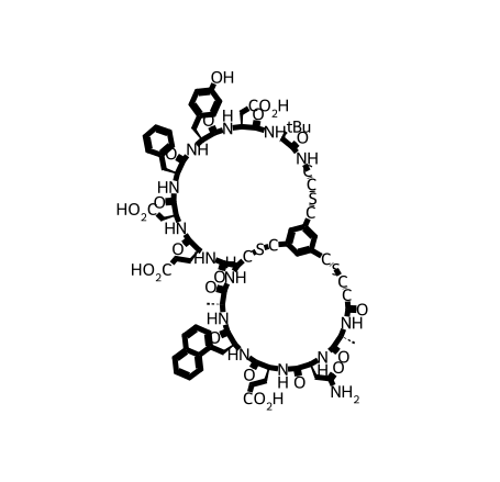 C[C@H]1NC(=O)CCSCc2cc3cc(c2)CSC[C@@H](NC(=O)[C@@H](C)NC(=O)[C@H](Cc2cccc4ccccc24)NC(=O)[C@H](CCC(=O)O)NC(=O)[C@H](CC(N)=O)NC1=O)C(=O)N[C@@H](CCC(=O)O)C(=O)N[C@@H](CC(=O)O)C(=O)N[C@@H](Cc1ccccc1)C(=O)N[C@@H](Cc1ccc(O)cc1)C(=O)N[C@@H](CC(=O)O)C(=O)N[C@@H](C(C)(C)C)C(=O)NCCSC3